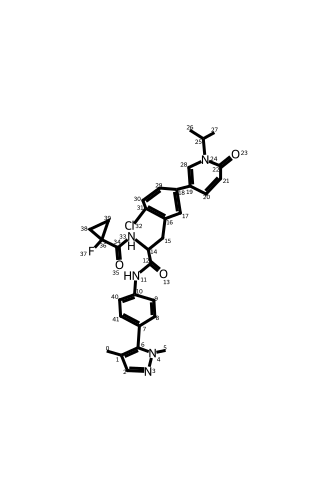 Cc1cnn(C)c1-c1ccc(NC(=O)C(Cc2cc(-c3ccc(=O)n(C(C)C)c3)ccc2Cl)NC(=O)C2(F)CC2)cc1